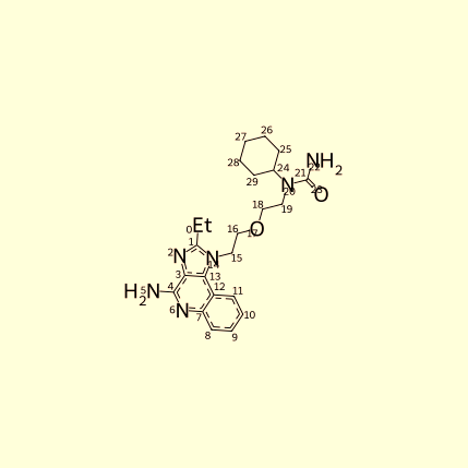 CCc1nc2c(N)nc3ccccc3c2n1CCOCCN(C(N)=O)C1CCCCC1